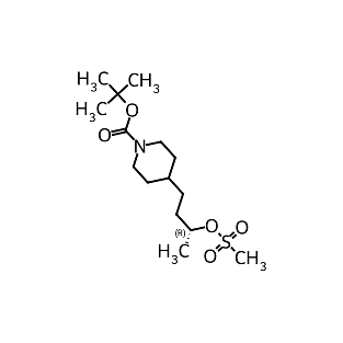 C[C@H](CCC1CCN(C(=O)OC(C)(C)C)CC1)OS(C)(=O)=O